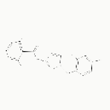 O=C(Nc1ccn(Cc2ccc(Cl)cc2Cl)n1)c1c(Cl)cccc1Br